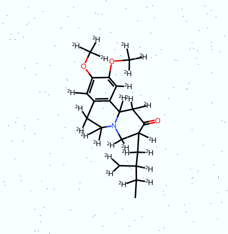 [2H]c1c(OC([2H])([2H])[2H])c(OC([2H])([2H])[2H])c([2H])c2c1C([2H])([2H])C([2H])([2H])N1C([2H])([2H])C([2H])(C([2H])([2H])C([2H])(C([2H])[2H])C([2H])([2H])C)C(=O)C([2H])([2H])C21[2H]